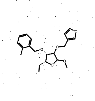 CC[C@H]1OC(OC)[C@H](OCc2ccoc2)[C@H]1OCc1ccccc1C